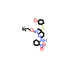 COc1cccc(Sc2cn(COCC[Si](C)(C)C)c3nc(Nc4ccccc4[N+](=O)[O-])ccc23)c1